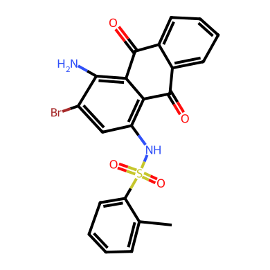 Cc1ccccc1S(=O)(=O)Nc1cc(Br)c(N)c2c1C(=O)c1ccccc1C2=O